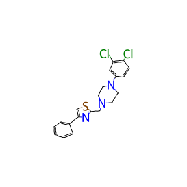 Clc1ccc(N2CCN(Cc3nc(-c4ccccc4)cs3)CC2)cc1Cl